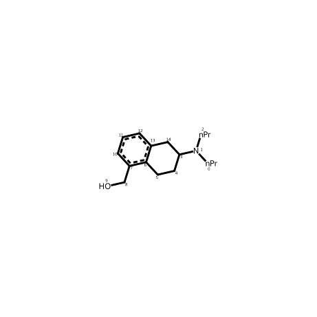 CCCN(CCC)C1CCc2c(CO)cccc2C1